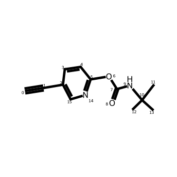 C#Cc1ccc(OC(=O)NC(C)(C)C)nc1